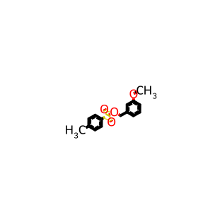 COc1cccc(COS(=O)(=O)c2ccc(C)cc2)c1